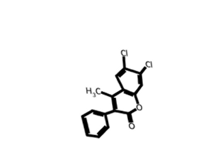 Cc1c(-c2ccccc2)c(=O)oc2cc(Cl)c(Cl)cc12